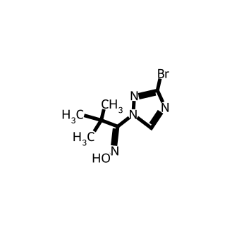 CC(C)(C)C(=NO)n1cnc(Br)n1